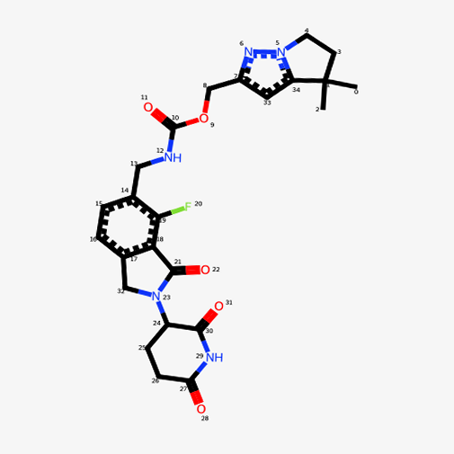 CC1(C)CCn2nc(COC(=O)NCc3ccc4c(c3F)C(=O)N(C3CCC(=O)NC3=O)C4)cc21